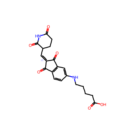 O=C(O)CCCCNc1ccc2c(c1)C(=O)/C(=C\C1CCC(=O)NC1=O)C2=O